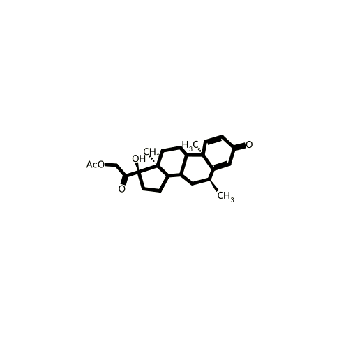 CC(=O)OCC(=O)[C@@]1(O)CCC2C3C[C@H](C)C4=CC(=O)C=C[C@]4(C)C3CC[C@@]21C